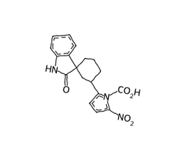 O=C(O)n1c(C2CCCC3(C2)C(=O)Nc2ccccc23)ccc1[N+](=O)[O-]